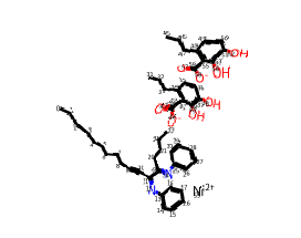 CCCCCCCCCC#CC(=Nc1ccccc1)C(CCCC)=Nc1ccccc1.CCCc1ccc(O)c(O)c1C(=O)[O-].CCCc1ccc(O)c(O)c1C(=O)[O-].[Ni+2]